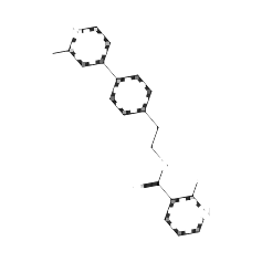 O=C(NCCc1ccc(-c2ccnc(F)c2)cc1)c1cccnc1C(F)(F)F